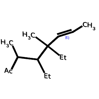 C/C=C/C(C)(CC)C(CC)C(C)C(C)=O